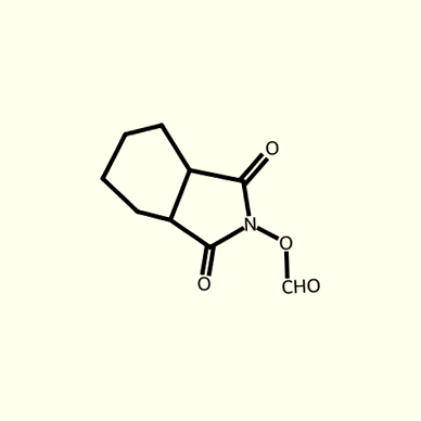 O=CON1C(=O)C2CCCCC2C1=O